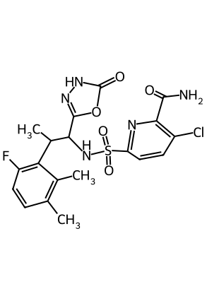 Cc1ccc(F)c(C(C)C(NS(=O)(=O)c2ccc(Cl)c(C(N)=O)n2)c2n[nH]c(=O)o2)c1C